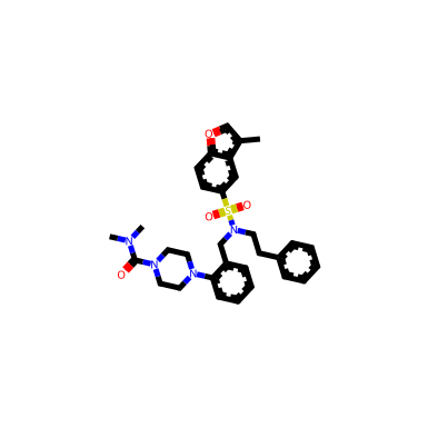 Cc1coc2ccc(S(=O)(=O)N(CCc3ccccc3)Cc3ccccc3N3CCN(C(=O)N(C)C)CC3)cc12